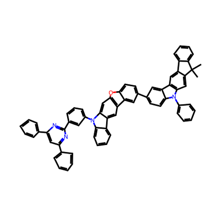 CC1(C)c2ccccc2-c2cc3c4cc(-c5ccc6oc7cc8c(cc7c6c5)c5ccccc5n8-c5cccc(-c6nc(-c7ccccc7)cc(-c7ccccc7)n6)c5)ccc4n(-c4ccccc4)c3cc21